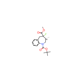 COC(=O)C1(F)Cc2ccccc2N(C(=O)OC(C)(C)C)C[C@H]1C